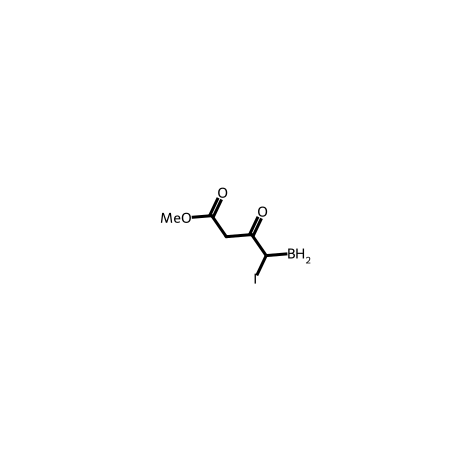 BC(I)C(=O)CC(=O)OC